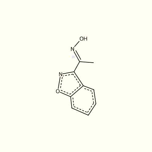 C/C(=N\O)c1noc2ccccc12